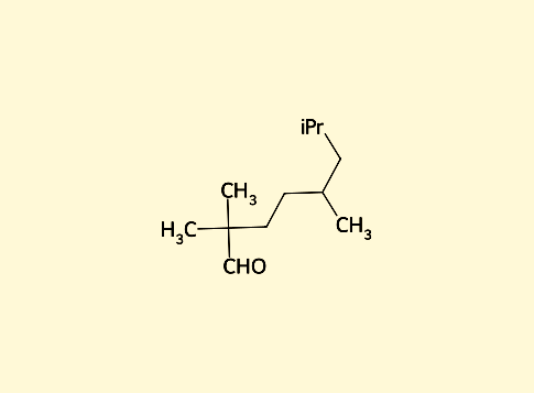 CC(C)CC(C)CCC(C)(C)C=O